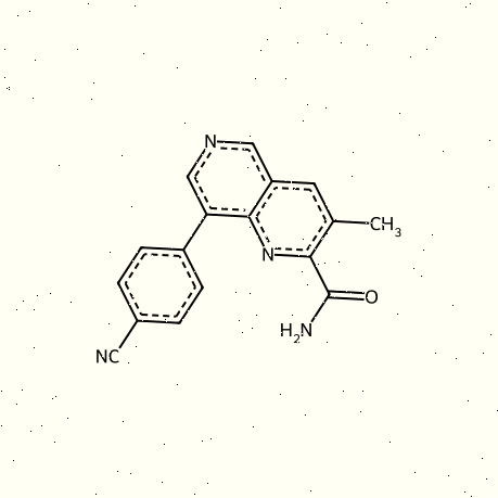 Cc1cc2cncc(-c3ccc(C#N)cc3)c2nc1C(N)=O